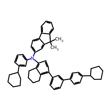 CC1(C)c2ccccc2-c2ccc(N(c3cccc(C4CCCCC4)c3)c3ccc(-c4cccc(-c5ccc(C6CCCCC6)cc5)c4)c4c3CCCC4)cc21